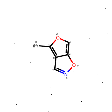 CC(C)c1occ2oncc12